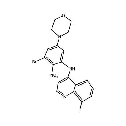 O=[N+]([O-])c1c(Br)cc(N2CCOCC2)cc1Nc1ccnc2c(F)cccc12